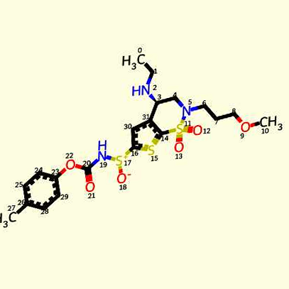 CCN[C@H]1CN(CCCOC)S(=O)(=O)c2sc([S+]([O-])NC(=O)Oc3ccc(C)cc3)cc21